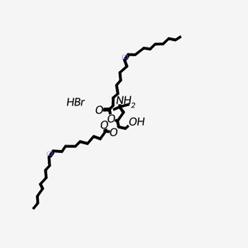 Br.CCCCCCCC/C=C\CCCCCCCC(=O)OC(CO)C(CC(C)(C)N)OC(=O)CCCCCCC/C=C\CCCCCCCC